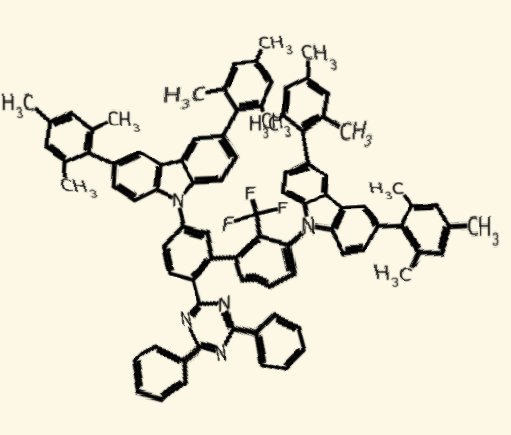 Cc1cc(C)c(-c2ccc3c(c2)c2cc(-c4c(C)cc(C)cc4C)ccc2n3-c2ccc(-c3nc(-c4ccccc4)nc(-c4ccccc4)n3)c(-c3cccc(-n4c5ccc(-c6c(C)cc(C)cc6C)cc5c5cc(-c6c(C)cc(C)cc6C)ccc54)c3C(F)(F)F)c2)c(C)c1